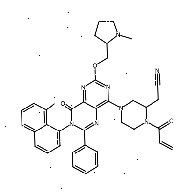 C=CC(=O)N1CCN(c2nc(OCC3CCCN3C)nc3c(=O)n(-c4cccc5cccc(C)c45)c(-c4ccccc4)nc23)CC1CC#N